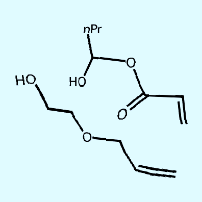 C=CC(=O)OC(O)CCC.C=CCOCCO